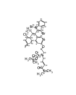 CC/C(=C(/c1ccc(OCCN(C/C=C/C(=O)N(C)C)C(=O)OC(C)(C)C)nc1)c1c(Br)c2ccccc2n1Br)c1ccc(F)cc1Cl